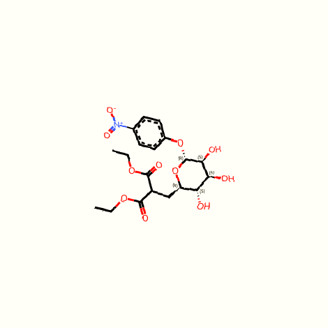 CCOC(=O)C(C[C@H]1O[C@H](Oc2ccc([N+](=O)[O-])cc2)[C@@H](O)[C@@H](O)[C@@H]1O)C(=O)OCC